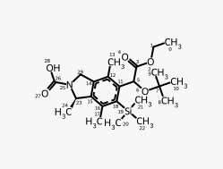 CCOC(=O)C(OC(C)(C)C)c1c(C)c2c(c(C)c1[Si](C)(C)C)[C@@H](C)N(C(=O)O)C2